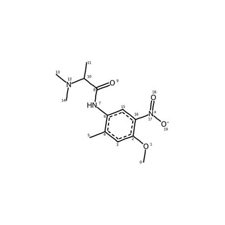 COc1cc(C)c(NC(=O)C(C)N(C)C)cc1[N+](=O)[O-]